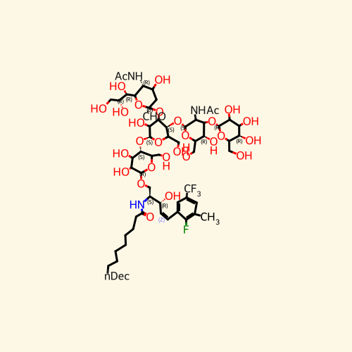 CCCCCCCCCCCCCCCCCC(=O)N[C@@H](CO[C@@H]1OC(CO)[C@@H](O[C@@H]2OC(CO)[C@H](O[C@@H]3OC(CO)[C@H](O)C(O[C@@H]4OC(CO)[C@H](O)C(O)C4O)C3NC(C)=O)C(O[C@]3(C=O)CC(O)[C@@H](NC(C)=O)C([C@H](O)[C@H](O)CO)O3)C2O)C(O)C1O)[C@H](O)/C=C\c1cc(C(F)(F)F)cc(C)c1F